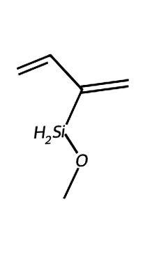 C=CC(=C)[SiH2]OC